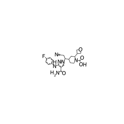 N#CCC(C1CCN(C(=O)O)C(C2COC2)C1)n1cc(C(N)=O)c(Nc2ccc(F)cc2)n1